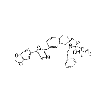 CC1(C)OC[C@@]2(CCc3ccc(-c4nnc(-c5ccc6c(c5)OCO6)o4)cc3C2)N1Cc1ccccc1